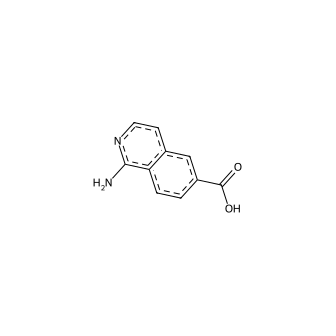 Nc1nccc2cc(C(=O)O)ccc12